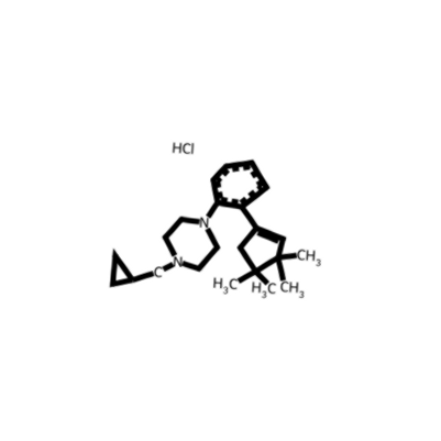 CC1(C)C=C(c2ccccc2N2CCN(CC3CC3)CC2)CC1(C)C.Cl